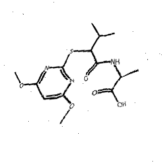 COc1cc(OC)nc(SC(C(=O)N[C@@H](C)C(=O)O)C(C)C)n1